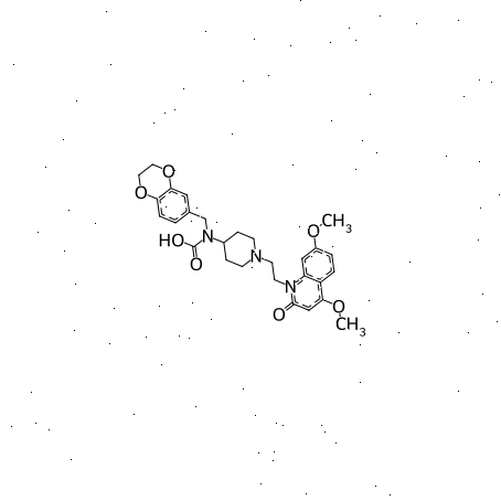 COc1ccc2c(OC)cc(=O)n(CCN3CCC(N(Cc4ccc5c(c4)OCCO5)C(=O)O)CC3)c2c1